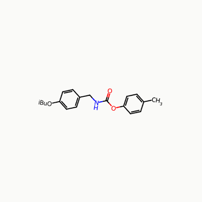 Cc1ccc(OC(=O)NCc2ccc(OCC(C)C)cc2)cc1